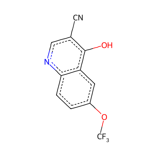 N#Cc1cnc2ccc(OC(F)(F)F)cc2c1O